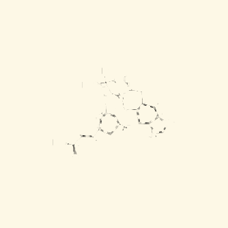 C[C@H]1Cc2cc3ocnc3cc2[C@H](c2c(F)cc(/C=C/C(=O)O)cc2F)N1CC(C)(C)F